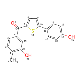 Cc1ccc(C(=O)c2ccc(-c3ccc(O)cc3)s2)cc1O